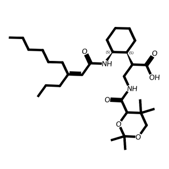 CCCCCCC(=CC(=O)N[C@H]1CCCC[C@H]1C(CNC(=O)C1OC(C)(C)OCC1(C)C)C(=O)O)CCC